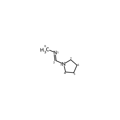 CN=CN1[CH]CCC1